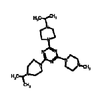 CC(C)N1CCN(c2nc(N3CCN(C)CC3)nc(N3CCN(C(C)C)CC3)n2)CC1